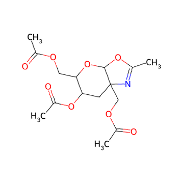 CC(=O)OCC1OC2OC(C)=NC2(COC(C)=O)CC1OC(C)=O